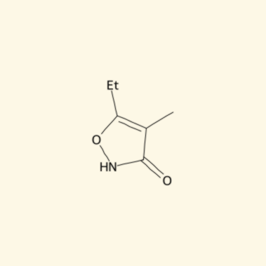 CCc1o[nH]c(=O)c1C